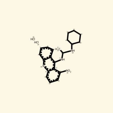 CC(Nc1c2ccccc2nc2cccc([N+](=O)[O-])c12)NC1CCCCC1.Cl.Cl